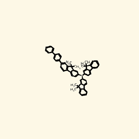 CC1(C)c2ccccc2-c2ccc(N(c3ccc4c(c3)C(C)(C)c3ccccc3-4)c3ccc4c(c3)C(C)(C)c3cc(-c5ccc(-c6ccccc6)cc5)ccc3-4)cc21